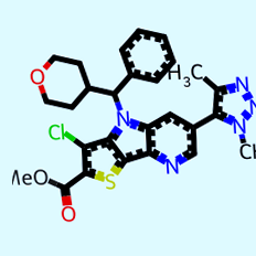 COC(=O)c1sc2c3ncc(-c4c(C)nnn4C)cc3n(C(c3ccccc3)C3CCOCC3)c2c1Cl